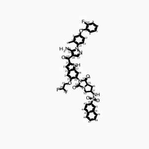 Cc1cc(Oc2ccccc2F)ccc1-n1ncc(C(=O)c2cc3cc(OCC(F)F)c(N4C(=O)C5CC(NS(=O)(=O)c6ccc7ccccc7c6)CN5C4=O)cc3[nH]2)c1N